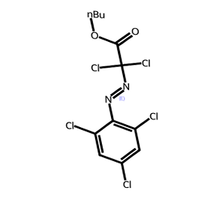 CCCCOC(=O)C(Cl)(Cl)/N=N/c1c(Cl)cc(Cl)cc1Cl